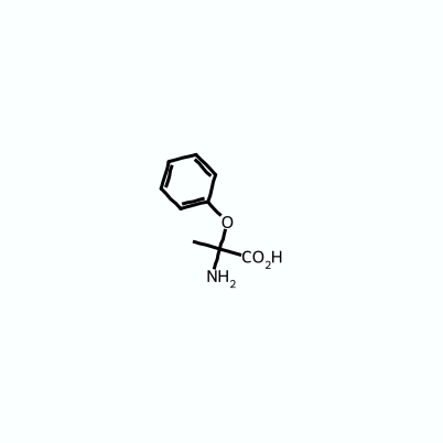 CC(N)(Oc1ccccc1)C(=O)O